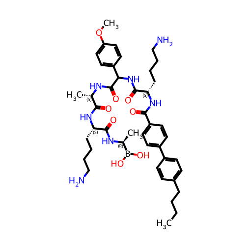 CCCCc1ccc(-c2ccc(C(=O)N[C@@H](CCCCN)C(=O)NC(C(=O)N[C@@H](C)C(=O)N[C@@H](CCCCN)C(=O)N[C@@H](C)B(O)O)c3ccc(OC)cc3)cc2)cc1